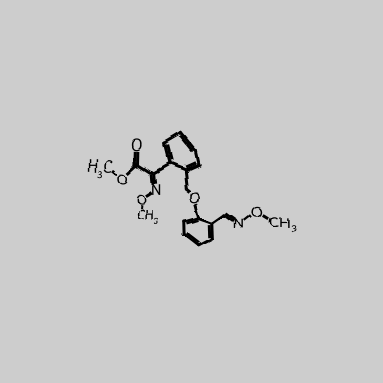 CON=Cc1ccccc1OCc1ccccc1C(=NOC)C(=O)OC